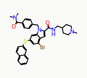 CN1CCC(CNC(=O)c2cc3c(Br)cc(Sc4ccc5ccccc5c4)cc3n2Cc2ccc(C(=O)N(C)C)cc2)CC1